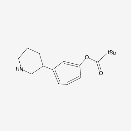 CC(C)(C)C(=O)Oc1cccc(C2CCCNC2)c1